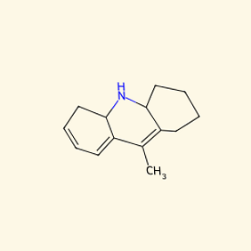 CC1=C2CCCCC2NC2CC=CC=C12